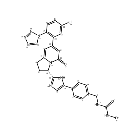 CCNC(=O)NCc1ccc(-c2cnc([C@@H]3CCc4cc(-c5cc(Cl)ccc5-n5cnnn5)cc(=O)n43)[nH]2)cc1